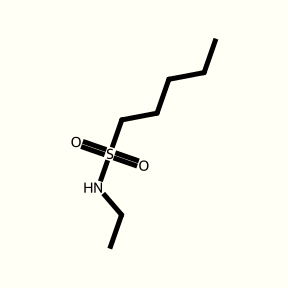 CCCCCS(=O)(=O)NCC